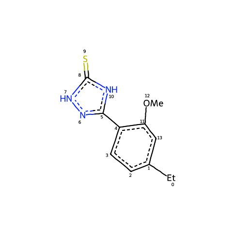 CCc1ccc(-c2n[nH]c(=S)[nH]2)c(OC)c1